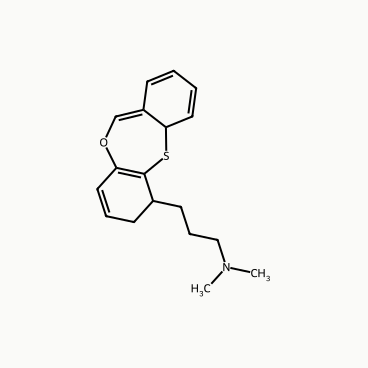 CN(C)CCCC1CC=CC2=C1SC1C=CC=CC1=CO2